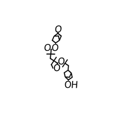 CCC(C)(CC(C)(C)C(=O)OC1CC2CC1CC2=O)C(=O)OC(C)(C)CC1CC2CC1CC2O